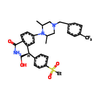 CCS(=O)(=O)c1ccc([C@@H](CO)c2cc(N3C(C)CN(Cc4ccc(C(F)(F)F)cc4)CC3C)ccc2C(N)=O)cc1